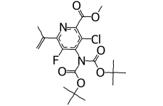 C=C(C)c1nc(C(=O)OC)c(Cl)c(N(C(=O)OC(C)(C)C)C(=O)OC(C)(C)C)c1F